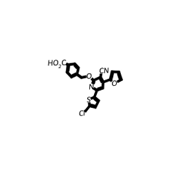 N#Cc1c(-c2ccco2)cc(-c2ccc(Cl)s2)nc1OCc1ccc(C(=O)O)cc1